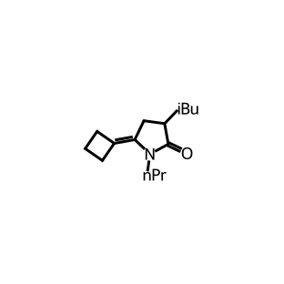 CCCN1C(=O)C(C(C)CC)CC1=C1CCC1